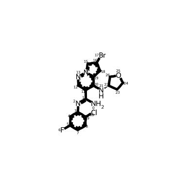 N/C(=N\c1cc(F)ccc1Cl)c1cnn2cc(Br)cc2c1N[C@H]1CCOC1